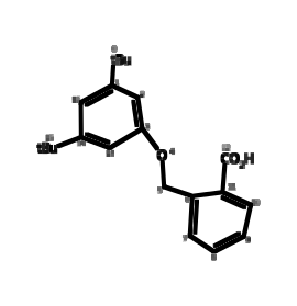 CC(C)(C)c1cc(OCc2ccccc2C(=O)O)cc(C(C)(C)C)c1